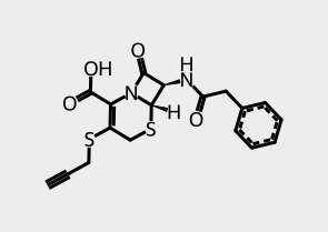 C#CCSC1=C(C(=O)O)N2C(=O)[C@@H](NC(=O)Cc3ccccc3)[C@@H]2SC1